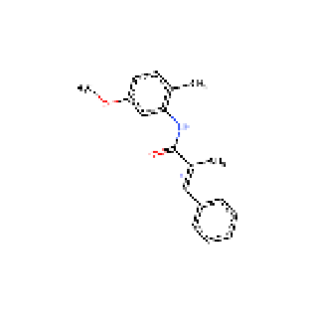 COc1ccc(C)c(NC(=O)/C(C)=C/c2ccccc2)c1